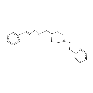 C(=Cc1ccccc1)COCC1CCN(CCc2ccccc2)CC1